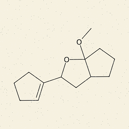 COC12CCCC1CC(C1=CCCC1)O2